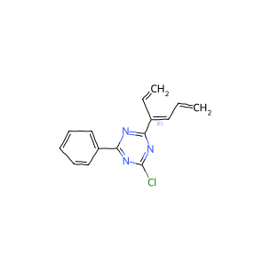 C=C/C=C(\C=C)c1nc(Cl)nc(-c2ccccc2)n1